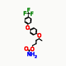 CC(C=CCOC(N)=O)Oc1ccc(Oc2ccc(C(F)(F)F)cc2)cc1